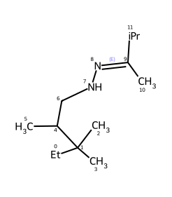 CCC(C)(C)C(C)CN/N=C(\C)C(C)C